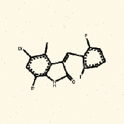 Cc1c(Br)cc(Br)c2c1C(=Cc1c(F)cccc1F)C(=O)N2